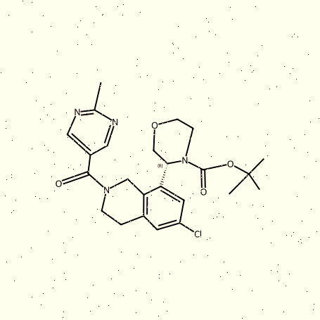 Cc1ncc(C(=O)N2CCc3cc(Cl)cc([C@@H]4COCCN4C(=O)OC(C)(C)C)c3C2)cn1